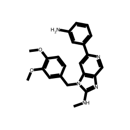 CNc1nc2cnc(-c3cccc(N)c3)cc2n1Cc1ccc(OC)c(OC)c1